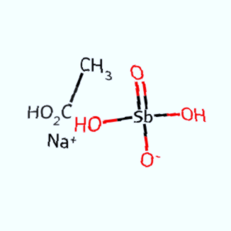 CC(=O)O.[Na+].[O]=[Sb]([O-])([OH])[OH]